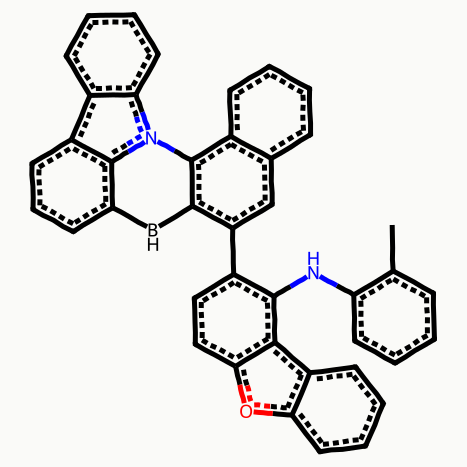 Cc1ccccc1Nc1c(-c2cc3ccccc3c3c2Bc2cccc4c5ccccc5n-3c24)ccc2oc3ccccc3c12